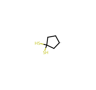 SC1(S)C[CH]CC1